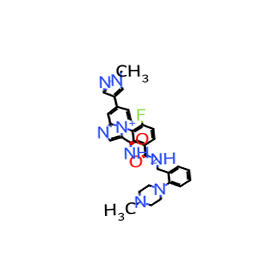 CN1CCN(c2ccccc2CNC(=O)c2ccc(F)c([N+]34C=CC(c5cnn(C)c5)=CC3=NC=C4C(N)=O)c2)CC1